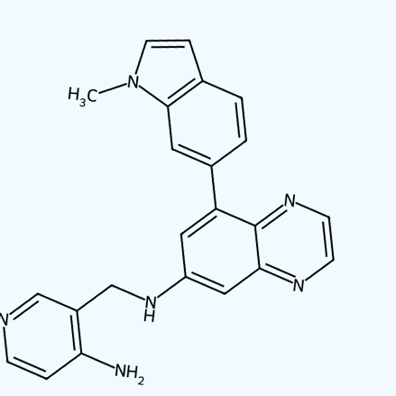 Cn1ccc2ccc(-c3cc(NCc4cnccc4N)cc4nccnc34)cc21